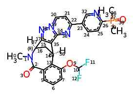 CN1C(=O)c2cccc(OC(F)F)c2[C@H]2C[C@@H]1c1nn3ccc(-c4ccc(P(C)(C)=O)nc4)nc3c12